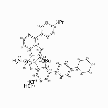 CCC(C)C1=Cc2c(-c3ccc(C(C)C)cc3)cccc2[CH]1[Zr]([CH3])([CH3])(=[SiH2])[CH]1C(C)=Cc2c(-c3ccc(C4CCCCC4)cc3)cccc21.Cl.Cl